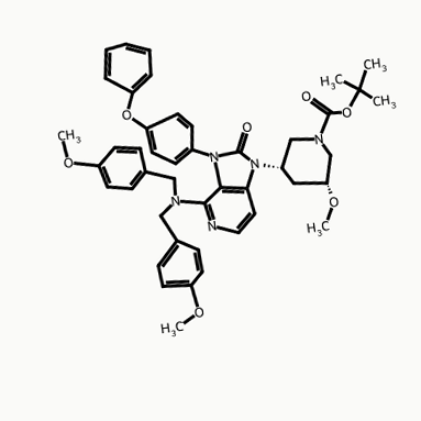 COc1ccc(CN(Cc2ccc(OC)cc2)c2nccc3c2n(-c2ccc(Oc4ccccc4)cc2)c(=O)n3[C@H]2C[C@@H](OC)CN(C(=O)OC(C)(C)C)C2)cc1